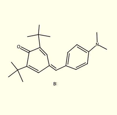 CN(C)c1ccc(C=C2C=C(C(C)(C)C)C(=O)C(C(C)(C)C)=C2)cc1.[B]